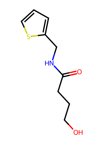 O=C(CCCO)NCc1cccs1